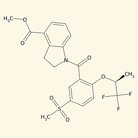 COC(=O)c1cccc2c1CCN2C(=O)c1cc(S(C)(=O)=O)ccc1O[C@@H](C)C(F)(F)F